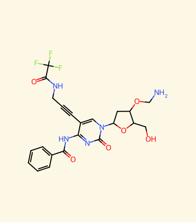 NCOC1CC(n2cc(C#CCNC(=O)C(F)(F)F)c(NC(=O)c3ccccc3)nc2=O)OC1CO